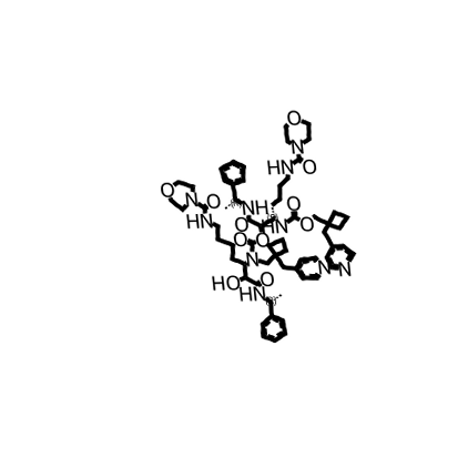 C[C@@H](NC(=O)C(O)C(CCCCNC(=O)N1CCOCC1)N(CC1(Cc2ccncc2)CCC1)C(=O)OC(C(=O)N[C@H](C)c1ccccc1)[C@H](CCCCNC(=O)N1CCOCC1)NC(=O)OCC1(Cc2ccncc2)CCC1)c1ccccc1